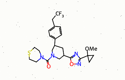 COC1(c2noc(C3CC(c4ccc(CC(F)(F)F)cc4)CN(C(=O)N4CCSCC4)C3)n2)CC1